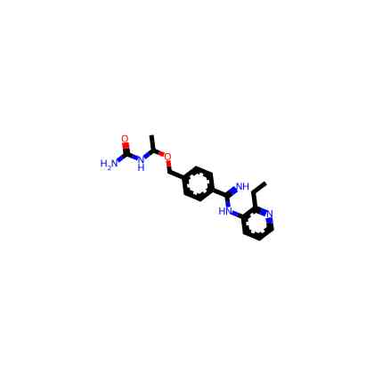 CCc1ncccc1NC(=N)c1ccc(COC(C)NC(N)=O)cc1